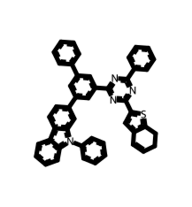 C1=Cc2cc(-c3nc(-c4ccccc4)nc(-c4cc(-c5ccccc5)cc(-c5ccc6c7ccccc7n(-c7ccccc7)c6c5)c4)n3)sc2CC1